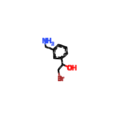 NCc1cccc(C(O)CBr)c1